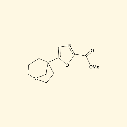 COC(=O)c1ncc(C23CCCN(CC2)C3)o1